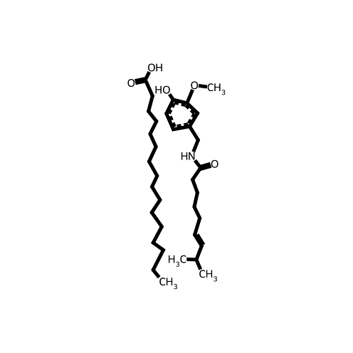 CCCCCCCCCCCCCCCC(=O)O.COc1cc(CNC(=O)CCCC/C=C/C(C)C)ccc1O